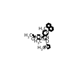 C=CC(=O)N1CCN(c2nc(OC[C@@H]3CCCN3C)nc3c2CCCN(c2cccc4cccc(C)c24)C3)[C@@H](C)C1